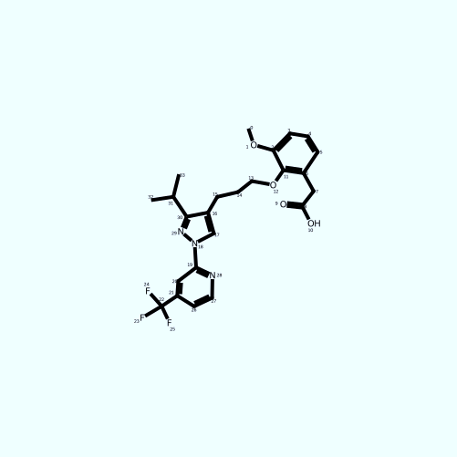 COc1cccc(CC(=O)O)c1OCCCc1cn(-c2cc(C(F)(F)F)ccn2)nc1C(C)C